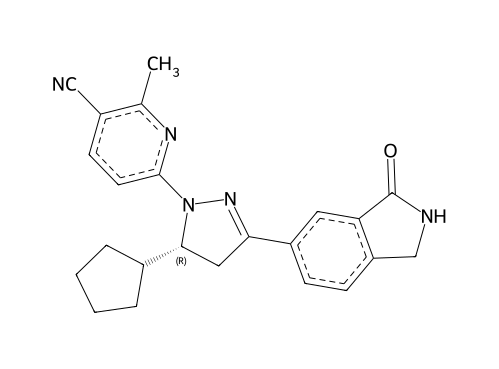 Cc1nc(N2N=C(c3ccc4c(c3)C(=O)NC4)C[C@@H]2C2CCCC2)ccc1C#N